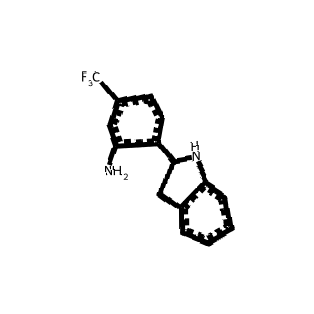 Nc1cc(C(F)(F)F)ccc1C1Cc2ccccc2N1